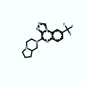 FC(F)(F)c1ccc2nc(N3CCN4CCCC4C3)c3nncn3c2c1